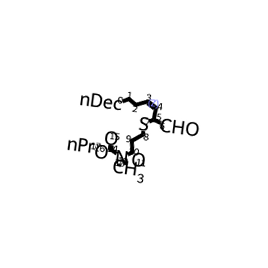 CCCCCCCCCCCC/C=C\C(C=O)SCCC(=O)N(C)C(=O)OCCC